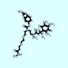 CCNC(=O)CCOCCOCCN(CCN(C)C(=O)CC(C)(C)C1=C(C)C(=O)C(C)=C(C)C1=O)C(=O)Oc1ccc2nc(C#N)sc2c1